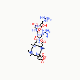 C=Cc1c(C)c2cc3nc(cc4[nH]c(cc5nc(cc1[nH]2)C(C)=C5CCC(=O)NC(CCCNC(=N)N)C(=O)NCC(=O)NC(CC(=O)O)C(=O)N[C@@H](CCCNC(=N)N)C(=O)O)c(CCC(=O)OC)c4C)[C@@]1(C)C3=CC=C(C(=O)OC)C1C(=O)OC